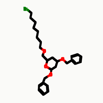 BrCCCCCCCCOCC1CC(OCc2ccccc2)CC(OCc2ccccc2)O1